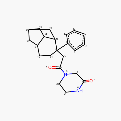 O=C1CN(C(=O)CC2(c3ccccc3)CCC3CC4CC3C2C4)CCN1